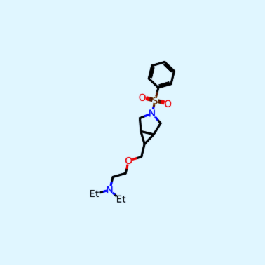 CCN(CC)CCOCC1C2CN(S(=O)(=O)c3ccccc3)CC12